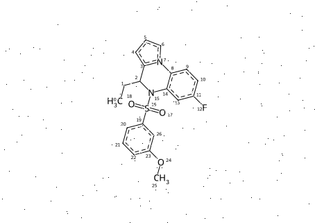 CCC1c2cccn2-c2ccc(F)cc2N1S(=O)(=O)c1cccc(OC)c1